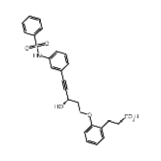 O=C(O)CCc1ccccc1OCC[C@@H](O)C#Cc1cccc(NS(=O)(=O)c2ccccc2)c1